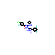 O=C(/N=C(/NC1CCC1)NC1CC(c2cc(F)cc(F)c2)NN1)c1ccc(Cl)c(F)c1